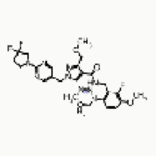 C=CN(/N=N\C)c1ccc(OC)c(F)c1CNC(=O)c1cn(Cc2cnc(N3CCC(F)(F)C3)nc2)nc1COC